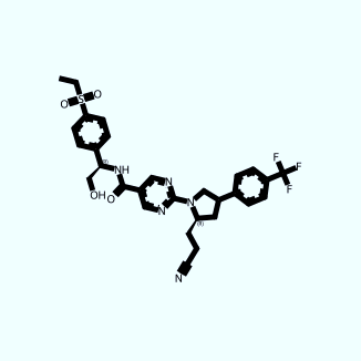 CCS(=O)(=O)c1ccc([C@H](CO)NC(=O)c2cnc(N3CC(c4ccc(C(F)(F)F)cc4)C[C@H]3CCC#N)nc2)cc1